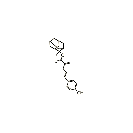 C=C(CC=Cc1ccc(O)cc1)C(=O)OC1(C)C2CC3CC(C2)CC1C3